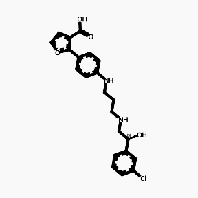 O=C(O)c1ccoc1-c1ccc(NCCCNC[C@@H](O)c2cccc(Cl)c2)cc1